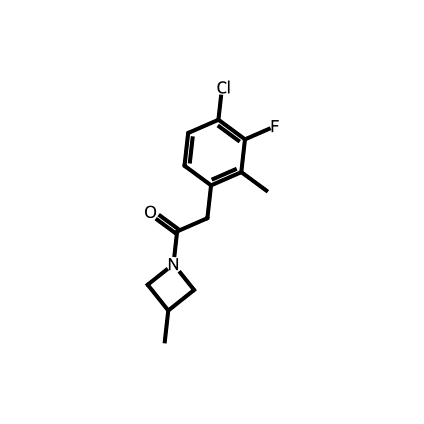 Cc1c(CC(=O)N2CC(C)C2)ccc(Cl)c1F